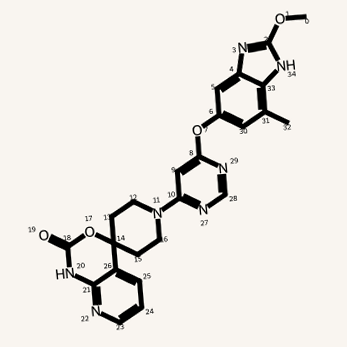 COc1nc2cc(Oc3cc(N4CCC5(CC4)OC(=O)Nc4ncccc45)ncn3)cc(C)c2[nH]1